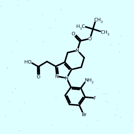 CC(C)(C)OC(=O)N1CCc2c(c(CC(=O)O)nn2-c2ccc(Br)c(F)c2N)C1